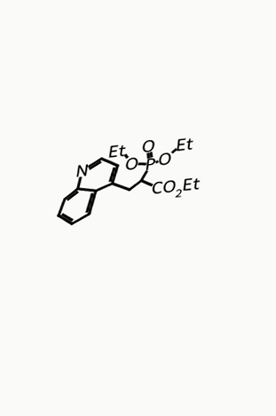 CCOC(=O)C(Cc1ccnc2ccccc12)P(=O)(OCC)OCC